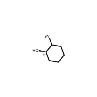 CC(C)C1CCCC[C@H]1O